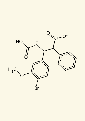 COc1cc(C(NC(=O)O)C(c2ccccc2)[N+](=O)[O-])ccc1Br